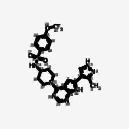 Cc1n[nH]cc1-c1cc2c(N3CCC(NS(=O)(=O)c4ccc(OC(F)(F)F)cc4)CC3)ncnc2[nH]1